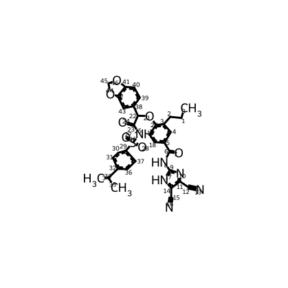 CCCc1cc(C(=O)Nc2nc(C#N)c(C#N)[nH]2)ccc1OC(C(=O)NS(=O)(=O)c1ccc(C(C)C)cc1)c1ccc2c(c1)OCO2